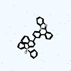 O=P(c1ccccc1)(c1ccccc1)c1ccc(-c2ccc3c(c2)c2ccccc2c2nc4ccccc4n32)c2ccccc12